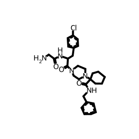 NCC(=O)NC(Cc1ccc(Cl)cc1)C(=O)N1CCN(C2(C(=O)NCc3ccccc3)CCCCC2)CC1